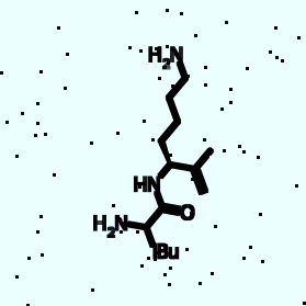 C=C(C)[C@H](CCCCN)NC(=O)C(N)C(C)CC